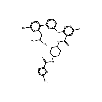 Cc1nc(C(=O)N[C@H]2CC[C@H](NC(=O)c3cc(F)cnc3Oc3cccc(-c4ccc(O)cc4CN(C)C)c3)CC2)cs1